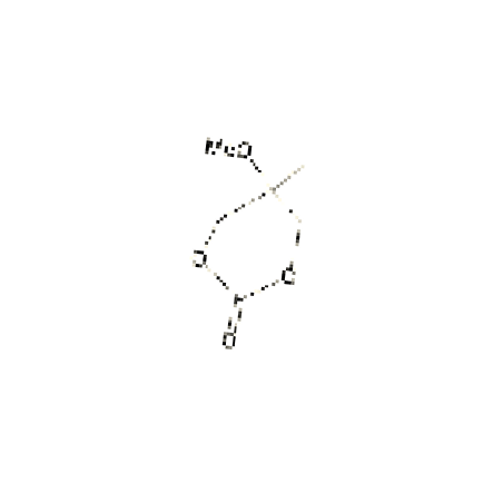 COC1(C)COC(=O)OC1